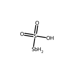 O=[S](=O)(O)[SbH2]